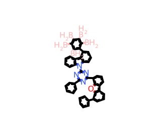 Bc1c(B)c(B)c(-c2cccc3c2c2ccccc2n3-c2nc(-c3ccccc3)nc(-c3cccc4c3oc3c(-c5ccccc5)cccc34)n2)c(B)c1B